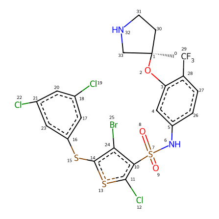 C[C@@]1(Oc2cc(NS(=O)(=O)c3c(Cl)sc(Sc4cc(Cl)cc(Cl)c4)c3Br)ccc2C(F)(F)F)CCNC1